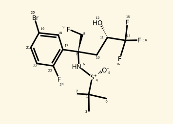 CC(C)(C)[S@@+]([O-])N[C@@](CF)(C[C@H](O)C(F)(F)F)c1cc(Br)ccc1F